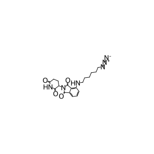 [N-]=[N+]=NCCCCCCNc1cccc2c1C(=O)N(C1CCC(=O)NC1=O)C2=O